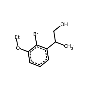 [CH2]C(CO)c1cccc(OCC)c1Br